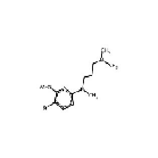 COc1nc(N(C)CCCN(C)C)ccc1Br